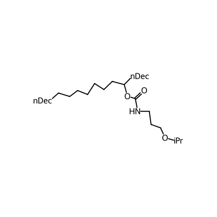 CCCCCCCCCCCCCCCCCC(CCCCCCCCCC)OC(=O)NCCCOC(C)C